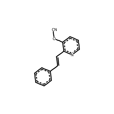 N#COc1cccnc1C=Cc1ccccc1